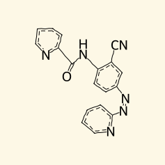 N#Cc1cc(/N=N\c2ccccn2)ccc1NC(=O)c1ccccn1